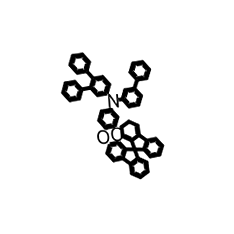 C1=C2C(=CCC1)C1(c3ccccc32)c2ccccc2-c2ccc3c(c21)Oc1cc(N(c2cccc(-c4ccccc4)c2)c2ccc(-c4ccccc4)c(-c4ccccc4)c2)ccc1O3